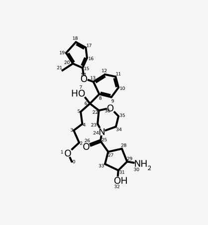 COCCCCC(O)(c1ccccc1Oc1ccccc1C)C1CN(C(=O)C2CC(N)C(O)C2)CCO1